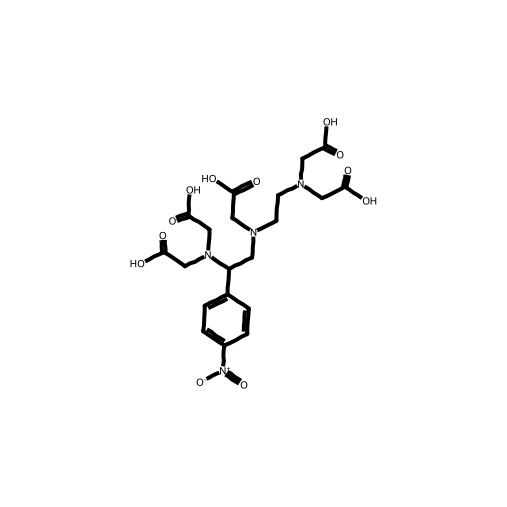 O=C(O)CN(CCN(CC(=O)O)CC(c1ccc([N+](=O)[O-])cc1)N(CC(=O)O)CC(=O)O)CC(=O)O